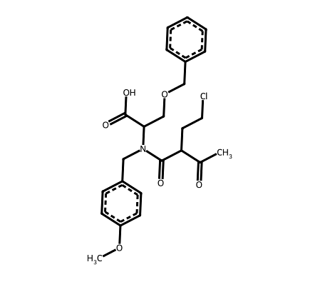 COc1ccc(CN(C(=O)C(CCCl)C(C)=O)C(COCc2ccccc2)C(=O)O)cc1